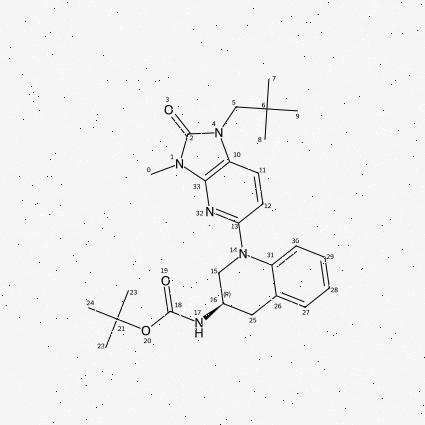 Cn1c(=O)n(CC(C)(C)C)c2ccc(N3C[C@H](NC(=O)OC(C)(C)C)Cc4ccccc43)nc21